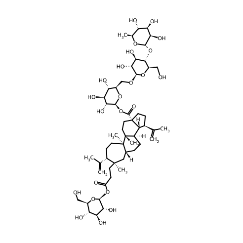 C=C(C)[C@@H]1CC[C@]2(C(=O)O[C@@H]3O[C@H](CO[C@@H]4O[C@H](CO)[C@@H](O[C@@H]5O[C@@H](C)[C@H](O)[C@@H](O)[C@H]5O)[C@H](O)[C@H]4O)[C@@H](O)[C@H](O)[C@H]3O)CC[C@]3(C)[C@H](CC[C@@H]4C[C@@](C)(CCC(=O)O[C@@H]5O[C@H](CO)[C@@H](O)[C@H](O)[C@H]5O)[C@H](C(=C)C)CC[C@]43C)[C@@H]12